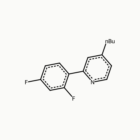 CCCCc1ccnc(-c2ccc(F)cc2F)c1